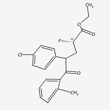 CCOC(=O)[C@@H](F)CC(C(=O)c1ccccc1C)c1ccc(Cl)cc1